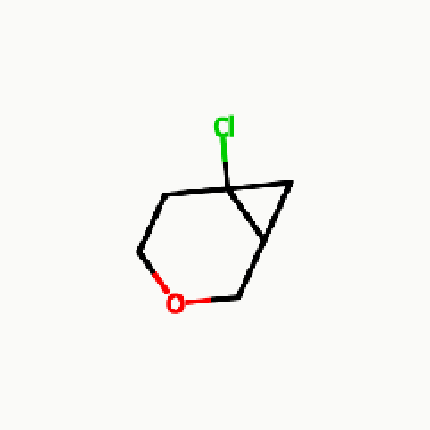 ClC12CCOCC1C2